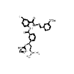 COc1cccc(C=NNC(=O)c2cc(Cl)ccc2NC(=O)c2cccc(C(CCN(C)C)Sc3nnn[nH]3)c2)c1